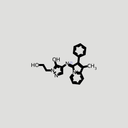 CC1=C(c2ccccc2)/C(=N/c2cnn(CCO)c2O)[n+]2ccccc21